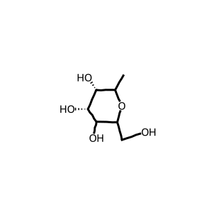 CC1OC(CO)C(O)[C@H](O)[C@@H]1O